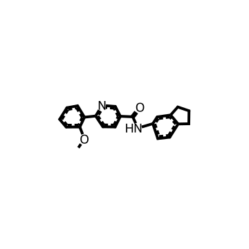 COc1ccccc1-c1ccc(C(=O)Nc2ccc3c(c2)CCC3)cn1